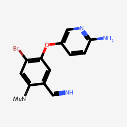 CNc1cc(Br)c(Oc2ccc(N)nc2)cc1C=N